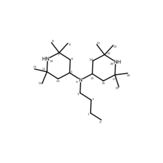 CCCCN(C1CC(C)(C)NC(C)(C)C1)C1CC(C)(C)NC(C)(C)C1